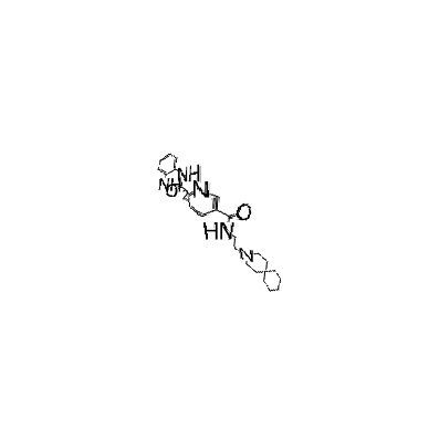 Nc1ccccc1NC(=O)c1ccc(C(=O)NCCN2CCC3(CCCCC3)CC2)cn1